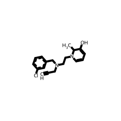 C#CCN(CCN1C=CC=C(O)C1C)Cc1cccc(Cl)c1